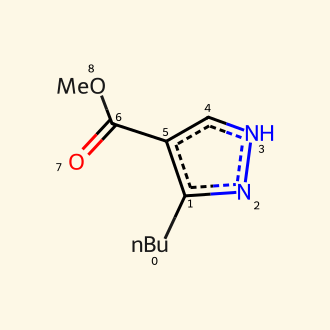 CCCCc1n[nH]cc1C(=O)OC